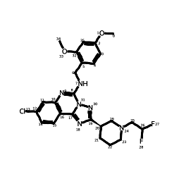 COc1ccc(CNc2nc3cc(Cl)ccc3c3nc([C@@H]4CCCN(CC(F)F)C4)nn23)c(OC)c1